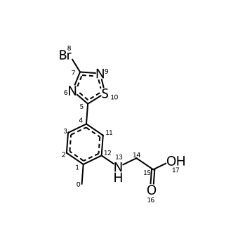 Cc1ccc(-c2nc(Br)ns2)cc1NCC(=O)O